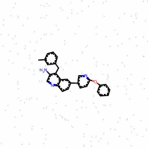 Cc1cccc(Cc2c(N)cnc3ccc(-c4ccc(Oc5ccccc5)nc4)cc23)c1